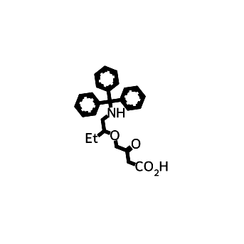 CCC(CNC(c1ccccc1)(c1ccccc1)c1ccccc1)OCC(=O)CC(=O)O